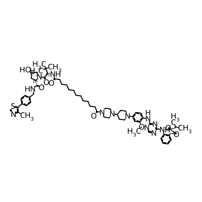 COc1cc(N2CCC(N3CCN(C(=O)CCCCCCCCCCCC(=O)N[C@H](C(=O)N4C[C@H](O)C[C@H]4C(=O)NCc4ccc(-c5scnc5C)cc4)C(C)(C)C)CC3)CC2)ccc1Nc1ncnc(Nc2ccccc2S(=O)(=O)C(C)C)n1